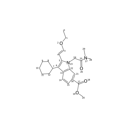 CCOC=Cc1c(C2CCCCC2)c2ccc(C(=O)OC)cc2n1CC(=O)N(C)C